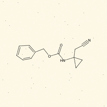 N#CCC1(NC(=O)OCc2ccccc2)CC1